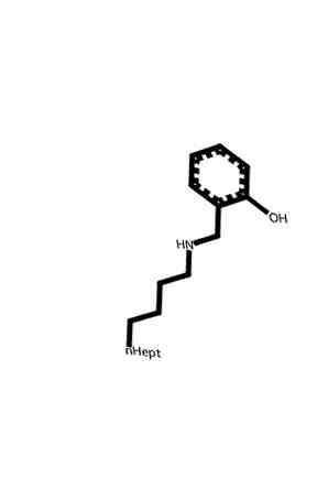 CCCCCCCCCCCNCc1ccccc1O